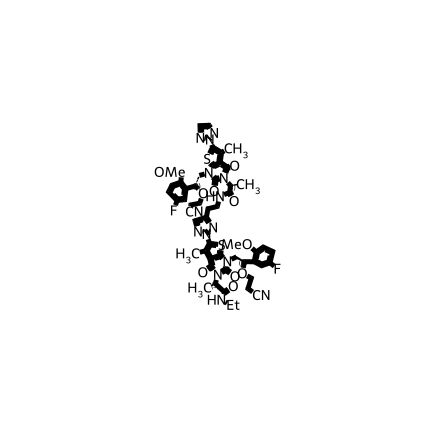 CCNC(=O)[C@H](C)n1c(=O)c2c(C)c(-n3ncc(CCNC(=O)[C@@H](C)n4c(=O)c5c(C)c(-n6nccn6)sc5n(C[C@H](OCCC#N)c5cc(F)ccc5OC)c4=O)n3)sc2n(C[C@H](OCCC#N)c2cc(F)ccc2OC)c1=O